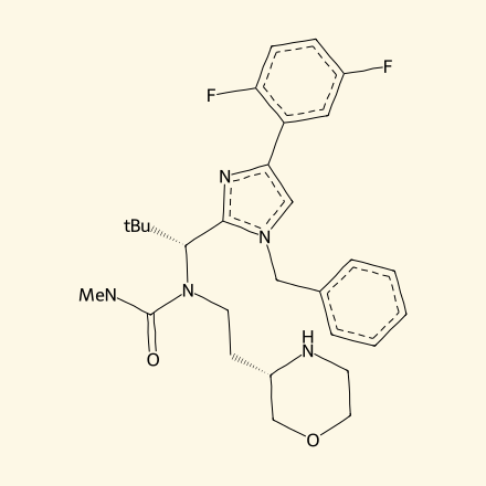 CNC(=O)N(CC[C@H]1COCCN1)[C@@H](c1nc(-c2cc(F)ccc2F)cn1Cc1ccccc1)C(C)(C)C